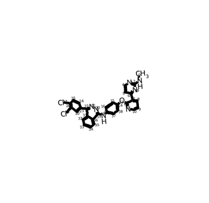 CNc1nccc(-c2cccnc2Oc2ccc(Nc3nnc(-c4ccc(Cl)c(Cl)c4)c4ccccc34)cc2)n1